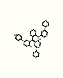 CC1C=CC(c2ccncc2)=CC1C1=C2C=C(c3ccccc3)C=CC2(C)C(c2cccc(-c3ccncc3)c2)c2ccccc21